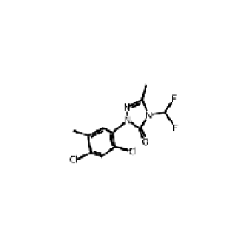 Cc1cc(-n2nc(C)n(C(F)F)c2=O)c(Cl)cc1Cl